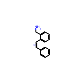 NCc1ccccc1/C=C\c1ccccc1